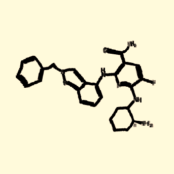 NC(=O)c1cc(F)c(NC2CCCC[C@@H]2N)nc1Nc1cccc2nn(Cc3ccccc3)cc12